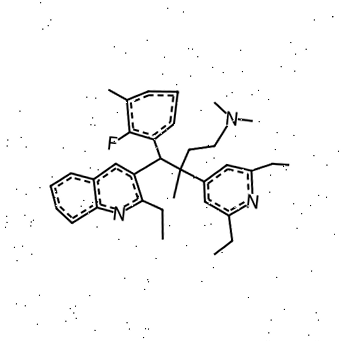 CCc1cc(C(C)(CCN(C)C)C(c2cc3ccccc3nc2CC)c2cccc(C)c2F)cc(CC)n1